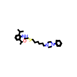 CC(C)c1cccc(C(C)C)c1NC(=O)CSCCCCCCN1CCN(c2ccccc2)CC1